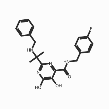 CC(C)(NCc1ccccc1)c1nc(O)c(O)c(C(=O)NCc2ccc(F)cc2)n1